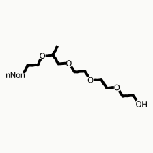 CCCCCCCCCCCOC(C)COCCOCCOCCO